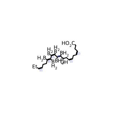 BC(=C(B)/C(B)=C(\B)[C@@H](O)C/C=C\C/C=C\CCC(=O)O)/C(B)=C(\B)CC/C=C\CC